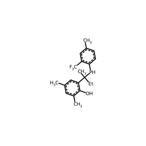 CCC(C)(Pc1ccc(C)cc1C(F)(F)F)c1cc(C)cc(C)c1O